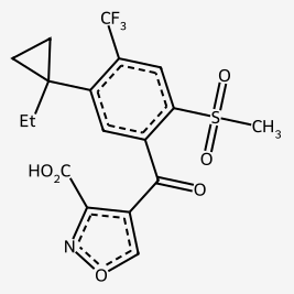 CCC1(c2cc(C(=O)c3conc3C(=O)O)c(S(C)(=O)=O)cc2C(F)(F)F)CC1